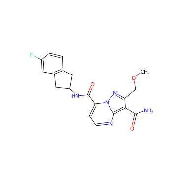 COCc1nn2c(C(=O)NC3Cc4ccc(F)cc4C3)ccnc2c1C(N)=O